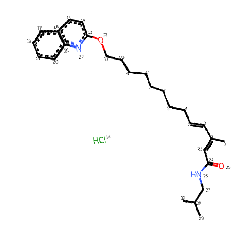 CC(C=CCCCCCCCCOc1ccc2ccccc2n1)=CC(=O)NCC(C)C.Cl